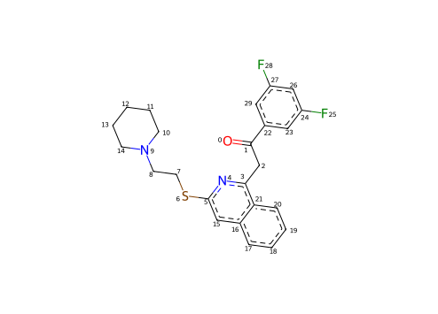 O=C(Cc1nc(SCCN2CCCCC2)cc2ccccc12)c1cc(F)cc(F)c1